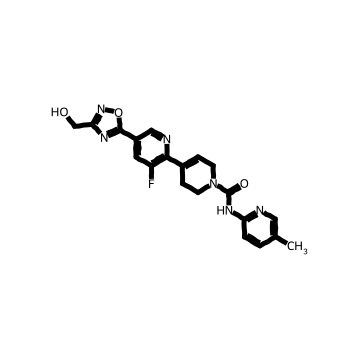 Cc1ccc(NC(=O)N2CC=C(c3ncc(-c4nc(CO)no4)cc3F)CC2)nc1